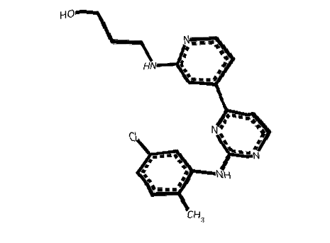 Cc1ccc(Cl)cc1Nc1nccc(-c2ccnc(NCCCO)c2)n1